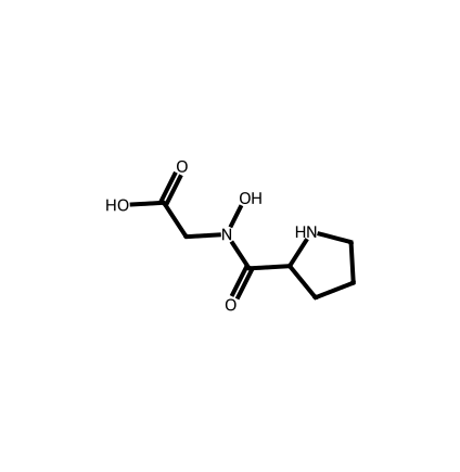 O=C(O)CN(O)C(=O)C1CCCN1